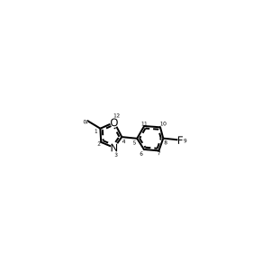 [CH2]c1cnc(-c2ccc(F)cc2)o1